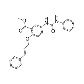 COC(=O)c1cc(NC(=O)Nc2ccccc2)ccc1OC/C=C/c1ccccc1